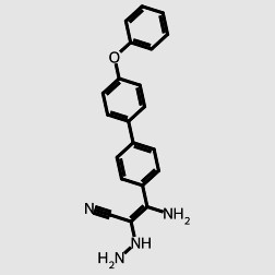 N#C/C(NN)=C(/N)c1ccc(-c2ccc(Oc3ccccc3)cc2)cc1